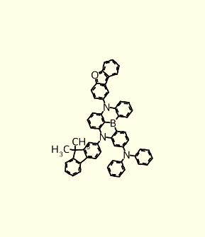 CC1(C)c2ccccc2-c2ccc(N3c4cc(N(c5ccccc5)c5ccccc5)ccc4B4c5ccccc5N(c5ccc6oc7ccccc7c6c5)c5cccc3c54)cc21